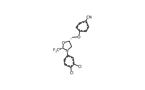 N#Cc1ccc(OC[C@@H]2CN(c3ccc(Cl)c(Cl)c3)[C@@H](C(F)(F)F)O2)cc1